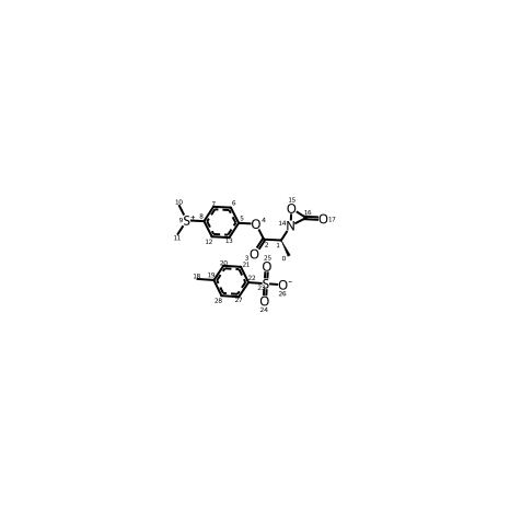 C[C@@H](C(=O)Oc1ccc([S+](C)C)cc1)N1OC1=O.Cc1ccc(S(=O)(=O)[O-])cc1